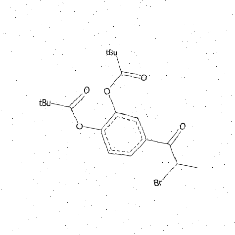 CC(Br)C(=O)c1ccc(OC(=O)C(C)(C)C)c(OC(=O)C(C)(C)C)c1